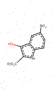 CCOC(=O)c1[se]c2ccc([N+](=O)[O-])cc2c1O